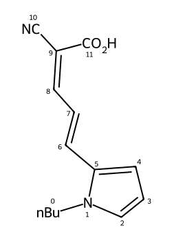 CCCCn1cccc1C=CC=C(C#N)C(=O)O